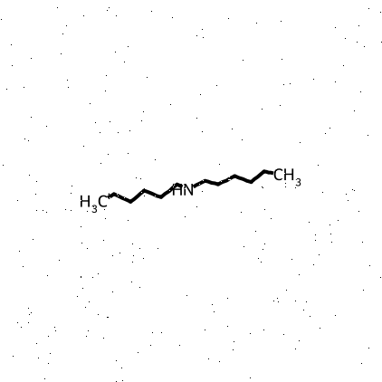 C[CH]CCCCNCCCCCC